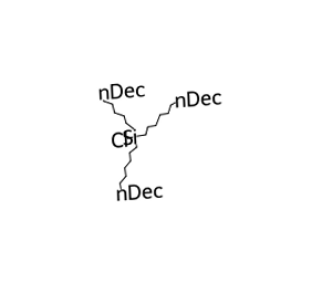 CCCCCCCCCCCCCCCC[Si](Cl)(CCCCCCCCCCCCCCCC)CCCCCCCCCCCCCCCC